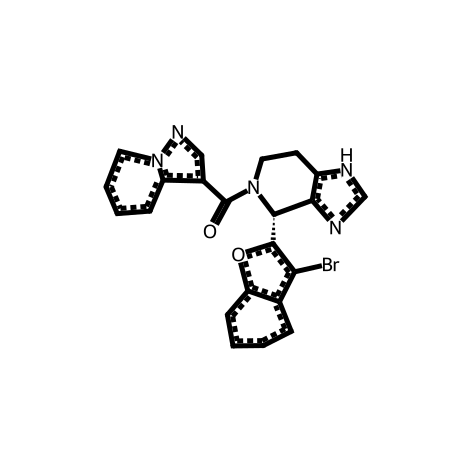 O=C(c1cnn2ccccc12)N1CCc2[nH]cnc2[C@@H]1c1oc2ccccc2c1Br